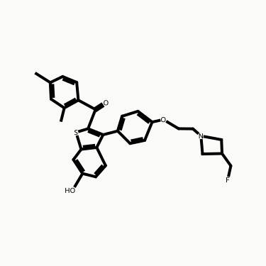 Cc1ccc(C(=O)c2sc3cc(O)ccc3c2-c2ccc(OCCN3CC(CF)C3)cc2)c(C)c1